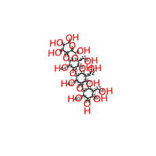 OCC1O[C@@H](O)C(O)[C@@H](O)[C@@H]1O[C@@H]1OC(CO)[C@H](O)[C@H](O[C@@H]2CC(CO)[C@H](O)[C@H](O[C@@H]3CC(CO)[C@H](O)[C@H](O)C3O)C2O)C1O